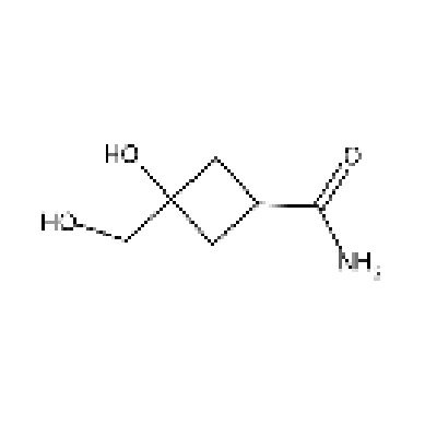 NC(=O)C1CC(O)(CO)C1